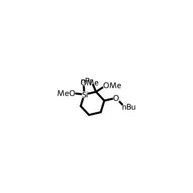 CCCCOC1CCC[Si](OC)(OC)C1(CCC)OC